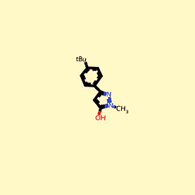 Cn1nc(-c2ccc(C(C)(C)C)cc2)cc1O